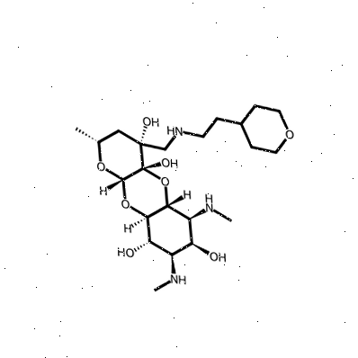 CN[C@@H]1[C@H](O)[C@H](NC)[C@H]2O[C@]3(O)[C@H](O[C@@H]2[C@H]1O)O[C@H](C)C[C@@]3(O)CNCCC1CCOCC1